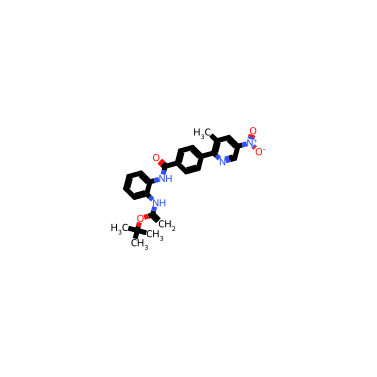 C=C(Nc1ccccc1NC(=O)c1ccc(-c2ncc([N+](=O)[O-])cc2C)cc1)OC(C)(C)C